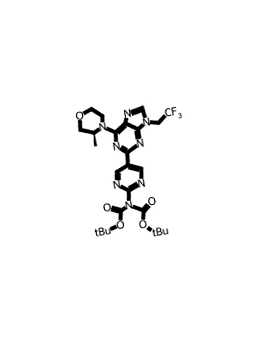 C[C@H]1COCCN1c1nc(-c2cnc(N(C(=O)OC(C)(C)C)C(=O)OC(C)(C)C)nc2)nc2c1ncn2CC(F)(F)F